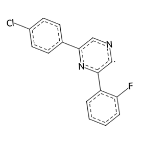 Fc1ccccc1-c1[c]ncc(-c2ccc(Cl)cc2)n1